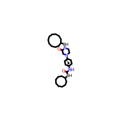 O=C(BC1CCCCCCCC1)NC12CCC(N3CCN(BC4CCCCCCCCCC4)C(=O)C3)(CC1)CC2